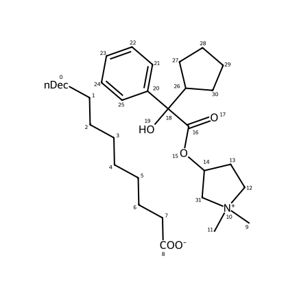 CCCCCCCCCCCCCCCCCC(=O)[O-].C[N+]1(C)CCC(OC(=O)C(O)(c2ccccc2)C2CCCC2)C1